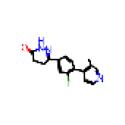 Cc1cnccc1-c1ccc(C2=NNC(=O)CC2)cc1F